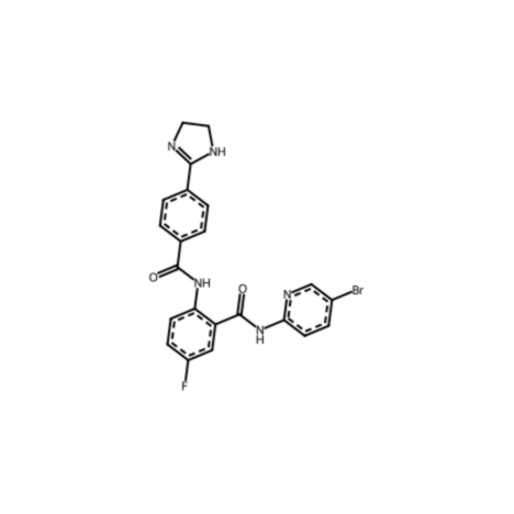 O=C(Nc1ccc(F)cc1C(=O)Nc1ccc(Br)cn1)c1ccc(C2=NCCN2)cc1